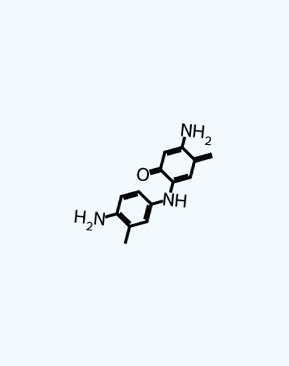 C=C1C=C(Nc2ccc(N)c(C)c2)C(=O)C=C1N